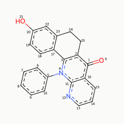 O=c1c2c(n(-c3ccccc3)c3ncccc13)-c1ccc(O)cc1CC2